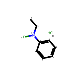 CCN(F)c1ccccc1.Cl